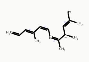 C=C/C=C(C)/C=C\N=C(\C)[C@H](C)/C=C(\C)C(C)C